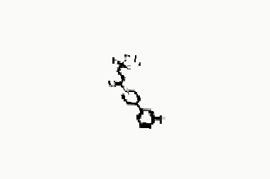 CC(F)(F)CCC(=O)N1CCC(c2cccc(F)c2)CC1